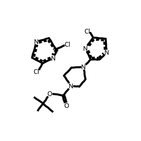 CC(C)(C)OC(=O)N1CCN(c2cncc(Cl)n2)CC1.Clc1cncc(Cl)n1